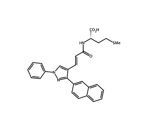 CSCC[C@H](NC(=O)/C=C/c1cn(-c2ccccc2)nc1-c1ccc2ccccc2c1)C(=O)O